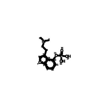 CN(C)CCc1coc2cccc(OP(=O)(O)O)c12